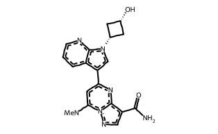 CNc1cc(-c2cn([C@H]3C[C@@H](O)C3)c3ncccc23)nc2c(C(N)=O)cnn12